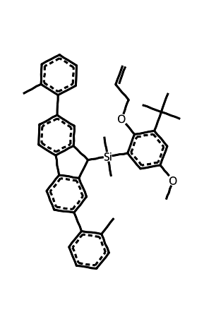 C=CCOc1c(C(C)(C)C)cc(OC)cc1[Si](C)(C)C1c2cc(-c3ccccc3C)ccc2-c2ccc(-c3ccccc3C)cc21